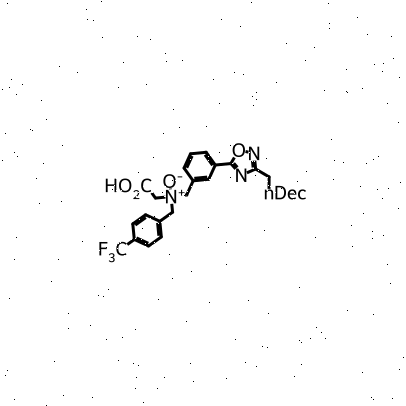 CCCCCCCCCCCc1noc(-c2cccc(C[N+]([O-])(CC(=O)O)Cc3ccc(C(F)(F)F)cc3)c2)n1